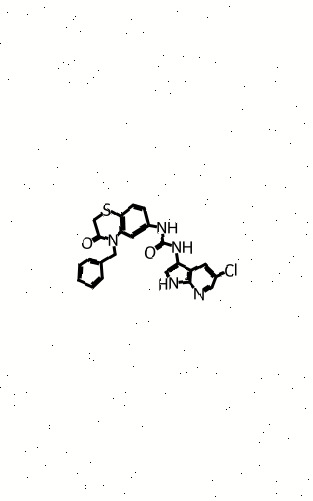 O=C(Nc1ccc2c(c1)N(Cc1ccccc1)C(=O)CS2)Nc1c[nH]c2ncc(Cl)cc12